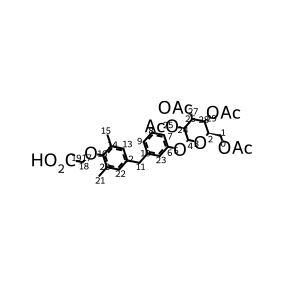 CC(=O)OC[C@H]1O[C@H](Oc2cccc(Cc3cc(C)c(OCC(=O)O)c(C)c3)c2)[C@@H](OC(C)=O)[C@@H](OC(C)=O)[C@@H]1OC(C)=O